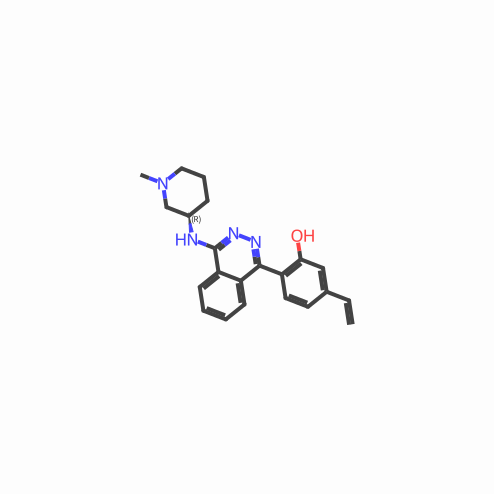 C=Cc1ccc(-c2nnc(N[C@@H]3CCCN(C)C3)c3ccccc23)c(O)c1